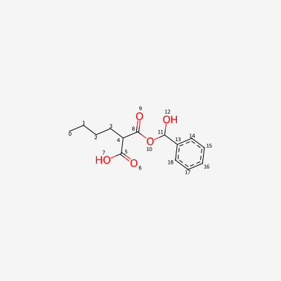 CCCCC(C(=O)O)C(=O)OC(O)c1ccccc1